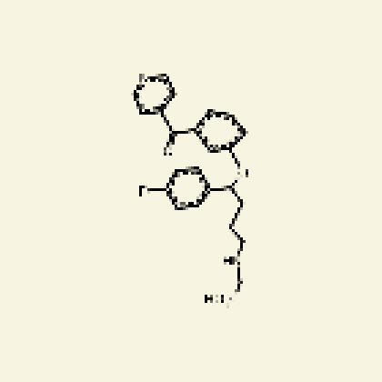 O=C(O)CNCCCC(Oc1cccc(C(=O)c2ccncc2)c1)c1ccc(F)cc1